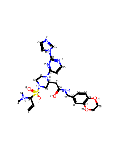 C=CC(N(C)C)S(=O)(=O)N1CCN(c2ccnc(-n3ccnc3)n2)C(CC(=O)NCc2ccc3c(c2)OCCO3)C1